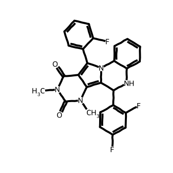 Cn1c(=O)c2c(-c3ccccc3F)n3c(c2n(C)c1=O)C(c1ccc(F)cc1F)Nc1ccccc1-3